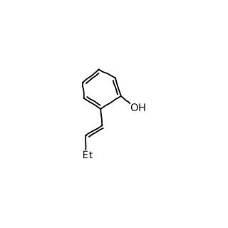 [CH2]CC=Cc1ccccc1O